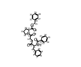 O=C(NC(Cc1ccccc1)C(=O)CCC(=O)N1CCC[C@H]1C(=O)OCc1ccccc1)c1ccccc1